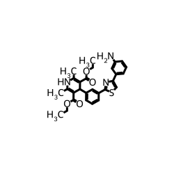 CCOC(=O)C1=C(C)NC(C)=C(C(=O)OCC)C1c1cccc(-c2nc(-c3cccc(N)c3)cs2)c1